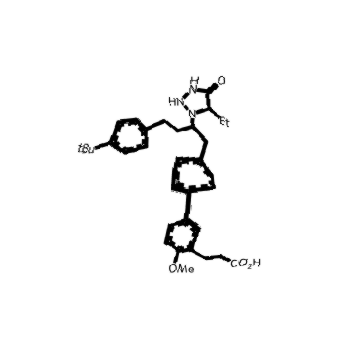 CCC1C(=O)NNN1C(CCc1ccc(C(C)(C)C)cc1)Cc1ccc(-c2ccc(OC)c(CCC(=O)O)c2)cc1